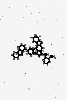 NC1C=CC=CC1Nc1cn2c3ccc(-c4cccc5c4sc4ccccc45)cc3c3c4c(cc1c32)sc1ccccc14